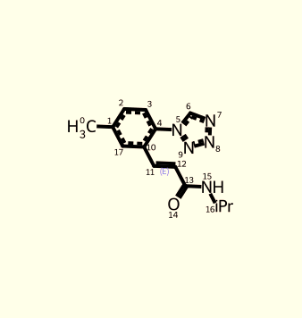 Cc1ccc(-n2cnnn2)c(/C=C/C(=O)NC(C)C)c1